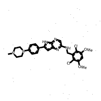 COc1cc(OC)c(Cl)c(CNc2cnc3[nH]c(-c4ccc(N5CCN(C)CC5)cc4)cc3n2)c1Cl